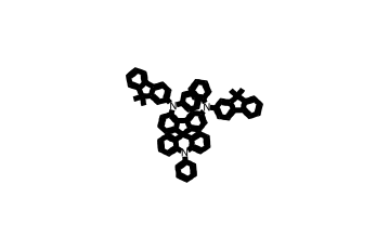 CC1(C)c2ccccc2-c2ccc(N(c3ccccc3)c3ccc4c(c3)-c3c(N(c5ccccc5)c5ccc6c(c5)C(C)(C)c5ccccc5-6)cccc3C43c4ccccc4N(c4ccccc4)c4ccccc43)cc21